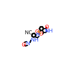 CC1CNC(=O)c2cccc(S(=O)(=O)N3CCc4c(NCCN5CCOCC5)cc(C#N)cc43)c21